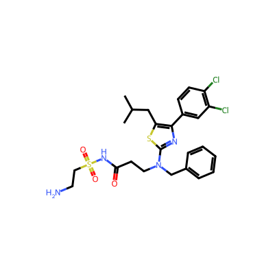 CC(C)Cc1sc(N(CCC(=O)NS(=O)(=O)CCN)Cc2ccccc2)nc1-c1ccc(Cl)c(Cl)c1